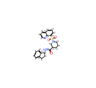 O=C(NC1CCc2ccccc21)C1CCCN(S(=O)(=O)c2cccc3cccnc23)C1